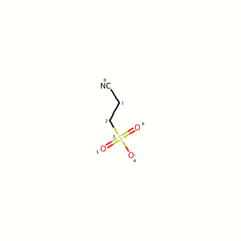 N#CCCS([O])(=O)=O